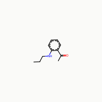 C[CH]CNc1ccccc1C(C)=O